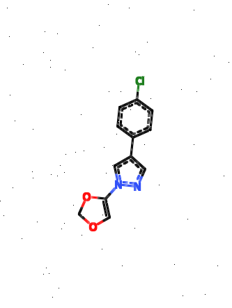 Clc1ccc(-c2cnn(C3=COCO3)c2)cc1